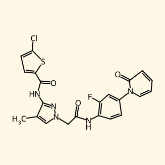 Cc1cn(CC(=O)Nc2ccc(-n3ccccc3=O)cc2F)nc1NC(=O)c1ccc(Cl)s1